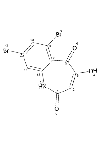 O=c1cc(O)c(=O)c2c(Br)cc(Br)cc2[nH]1